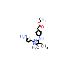 CCOC(=O)Cc1ccc(Nc2nc(-c3ccc(N)s3)nc(C)c2CC)cc1